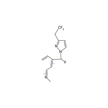 C=C/C(=C\C=N/C)C(F)n1ccc(CC(F)(F)F)n1